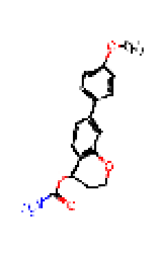 COc1ccc(-c2ccc3c(c2)OCCC3OC(N)=O)cc1